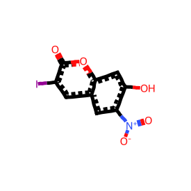 O=c1oc2cc(O)c([N+](=O)[O-])cc2cc1I